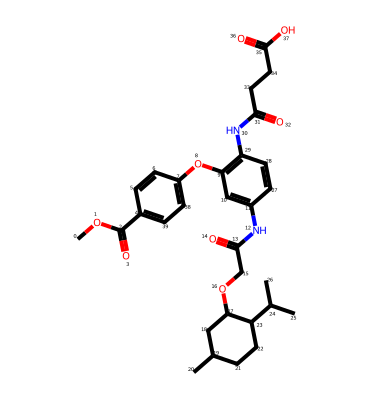 COC(=O)c1ccc(Oc2cc(NC(=O)COC3CC(C)CCC3C(C)C)ccc2NC(=O)CCC(=O)O)cc1